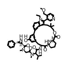 CCn1c(-c2cnccc2COC)c2c3cc(ccc31)-c1cc(O)cc(c1)C[C@H](NC(=O)C(C(C)C)N(C)C(=O)CN(C)C(=O)[C@@H]1N[C@H]1c1ccccc1)C(=O)N1CCC[C@H](N1)C(=O)OCC(C)(C)C2